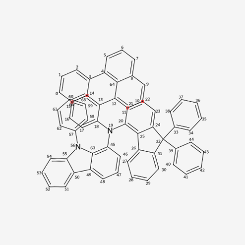 c1ccc(-c2cccc3cccc(-c4ccccc4N(c4cccc5c4-c4ccccc4C5(c4ccccc4)c4ccccc4)c4cccc5c6ccccc6n(-c6ccccc6)c45)c23)cc1